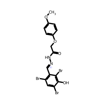 COc1ccc(OCC(=O)N/N=C/c2c(Br)cc(Br)c(O)c2Br)cc1